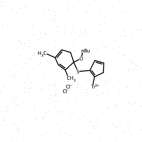 CCCCOC1(SC2=[C]([Ti+2])CC=C2)CC=C(C)C=C1C.[Cl-].[Cl-]